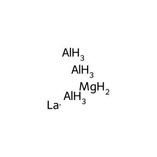 [AlH3].[AlH3].[AlH3].[La].[MgH2]